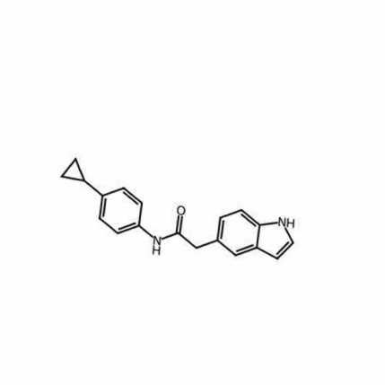 O=C(Cc1ccc2[nH]ccc2c1)Nc1ccc(C2CC2)cc1